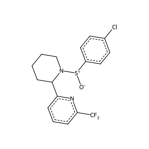 [O-][S+](c1ccc(Cl)cc1)N1CCCCC1c1cccc(C(F)(F)F)n1